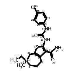 CC[N+]1(C)CCCc2c(sc(NC(=O)Nc3ccc(Cl)cc3)c2C(N)=O)C1